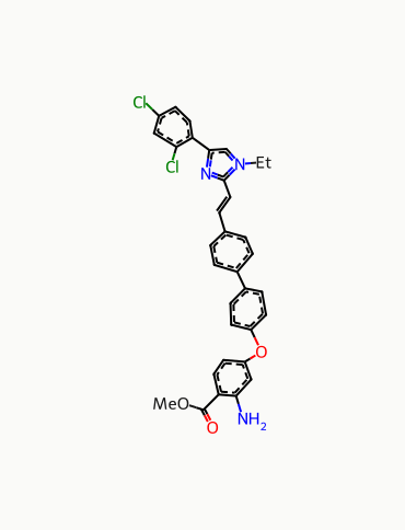 CCn1cc(-c2ccc(Cl)cc2Cl)nc1C=Cc1ccc(-c2ccc(Oc3ccc(C(=O)OC)c(N)c3)cc2)cc1